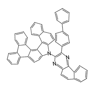 c1ccc(-c2ccc(-c3nc4c(ccc5ccccc54)nc3-n3c4ccc5ccccc5c4c4c5c6ccccc6c6ccccc6c5ccc43)cc2)cc1